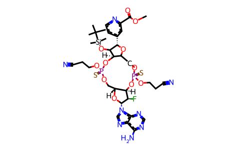 COC(=O)c1cc([C@@H]2OC3COP(=S)(OCCC#N)O[C@H]4[C@@H](F)[C@H](n5cnc6c(N)ncnc65)O[C@@H]4COP(=S)(OCCC#N)O[C@H]3C2O[Si](C)(C)C(C)(C)C)ccn1